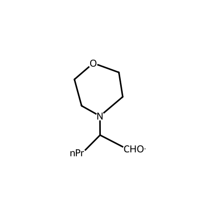 CCCC([C]=O)N1CCOCC1